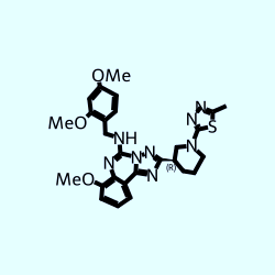 COc1ccc(CNc2nc3c(OC)cccc3c3nc([C@@H]4CCCN(c5nnc(C)s5)C4)nn23)c(OC)c1